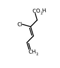 C=CC=C(Cl)CC(=O)O